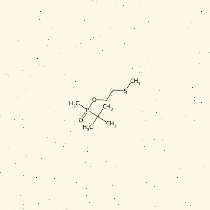 CSCCOP(C)(=O)C(C)(C)C